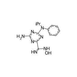 CC(C)N(c1ccccc1)c1nc(N)nc(C(=N)NO)n1